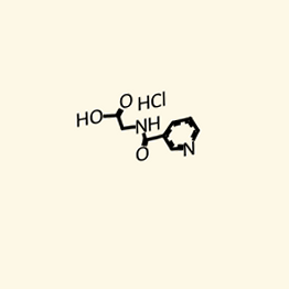 Cl.O=C(O)CNC(=O)c1cccnc1